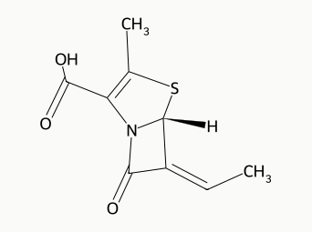 C/C=C1/C(=O)N2C(C(=O)O)=C(C)S[C@H]12